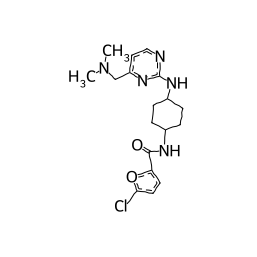 CN(C)Cc1ccnc(NC2CCC(NC(=O)c3ccc(Cl)o3)CC2)n1